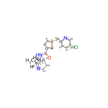 C[C@H]1[C@H](NC(=O)c2ccc(Sc3ccc(Cl)cn3)s2)C2CCN1CC2